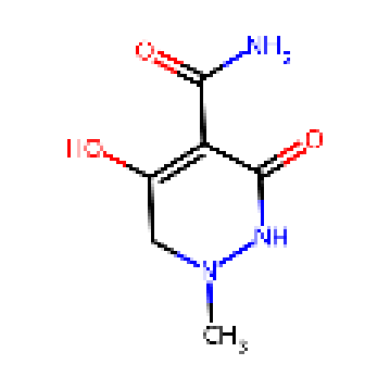 CN1CC(O)=C(C(N)=O)C(=O)N1